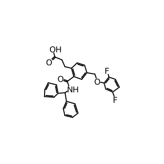 O=C(O)CCc1ccc(COc2cc(F)ccc2F)cc1C(=O)NC(c1ccccc1)c1ccccc1